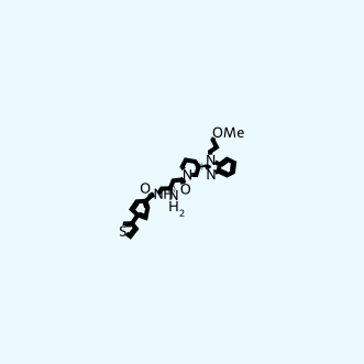 COCCCn1c([C@@H]2CCCN(C(=O)C[C@H](N)CNC(=O)c3ccc(-c4ccsc4)cc3)C2)nc2ccccc21